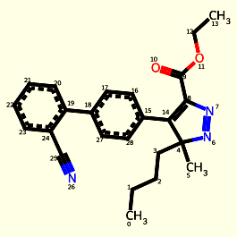 CCCCC1(C)N=NC(C(=O)OCC)=C1c1ccc(-c2ccccc2C#N)cc1